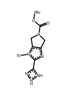 CCn1c(-c2n[nH][nH]2)nc2c1CN(C(=O)OC(C)(C)C)C2